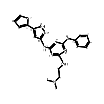 CN(C)CCNc1nc(Nc2cc(-c3cccs3)[nH]n2)nc(Sc2ccccc2)n1